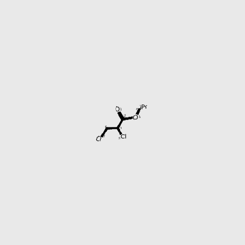 CC(C)OC(=O)C(Cl)CCl